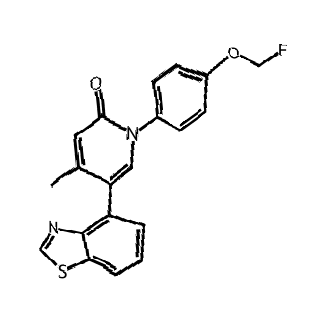 Cc1cc(=O)n(-c2ccc(OCF)cc2)cc1-c1cccc2scnc12